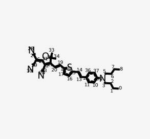 CCCCN(CCCC)c1ccc(/C=C/c2ccc(/C=C/C3=C(C#N)C(=C(C#N)C#N)OC3(C)C)s2)cc1